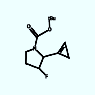 CC(C)(C)OC(=O)N1CCC(F)C1C1=CC1